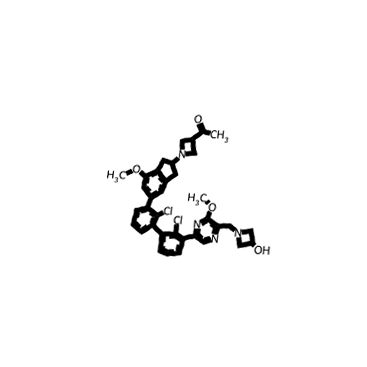 COc1cc(-c2cccc(-c3cccc(-c4cnc(CN5CC(O)C5)c(OC)n4)c3Cl)c2Cl)cc2c1CC(N1CC(C(C)=O)C1)C2